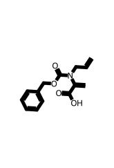 C=CCN(C(=C)C(=O)O)C(=O)OCc1ccccc1